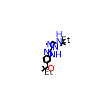 CCC(C)(C)Nc1cn(C)c(-c2nc3ccc(C(=O)C(C)(C)CC)cc3[nH]2)n1